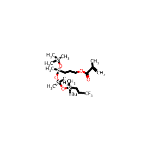 C=C(C)C(=O)OCCC[Si](C)(O[Si](C)(C)C)O[Si](C)(C)O[Si](C)(CCCC)CCC(F)(F)F